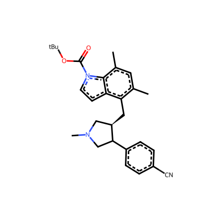 Cc1cc(C)c2c(ccn2C(=O)OC(C)(C)C)c1C[C@@H]1CN(C)CC1c1ccc(C#N)cc1